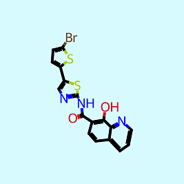 O=C(Nc1ncc(-c2ccc(Br)s2)s1)c1ccc2cccnc2c1O